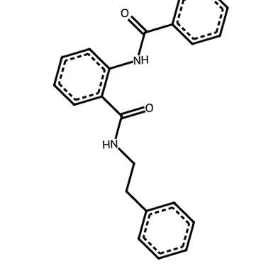 O=C(Nc1ccccc1C(=O)NCCc1ccccc1)c1ccccc1